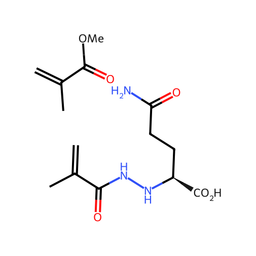 C=C(C)C(=O)NN[C@@H](CCC(N)=O)C(=O)O.C=C(C)C(=O)OC